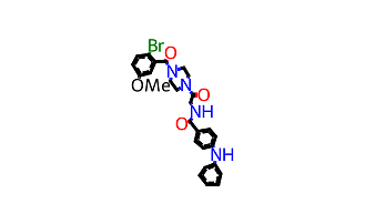 COc1ccc(Br)c(C(=O)N2CCN(C(=O)CNC(=O)c3ccc(Nc4ccccc4)cc3)CC2)c1